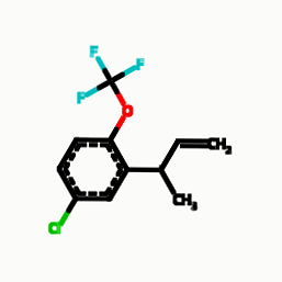 C=C[C](C)c1cc(Cl)ccc1OC(F)(F)F